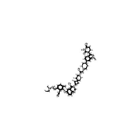 CCN(C)SNc1ccc(F)c(Oc2ccc3ncn(C4CC5(CCN(C(=O)CN6CCC(c7ccc8c(C9CCC(=O)NC9=O)nn(C)c8c7)CC6)CC5)C4)c(=O)c3c2)c1C#N